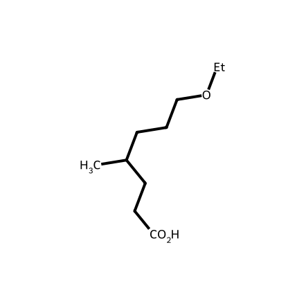 CCOCCCC(C)CCC(=O)O